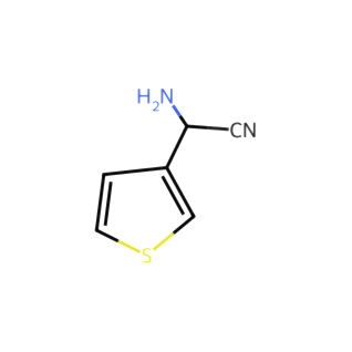 N#CC(N)c1ccsc1